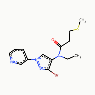 CCN(C(=O)CCSC)c1cn(-c2cccnc2)nc1Br